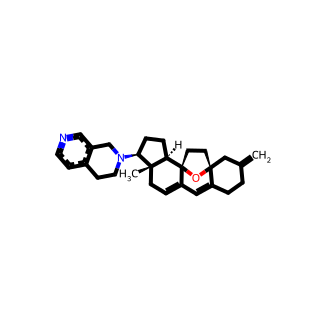 C=C1CCC2=CC3=CC[C@]4(C)[C@@H](N5CCc6ccncc6C5)CC[C@H]4[C@@]34CC[C@]2(C1)O4